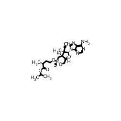 C#C[C@]1(C)[C@@H]2CP(=O)(OCC[C@H](C)C(=O)OC(C)C)OC[C@H]2O[C@H]1n1cnc2c(N)ncnc21